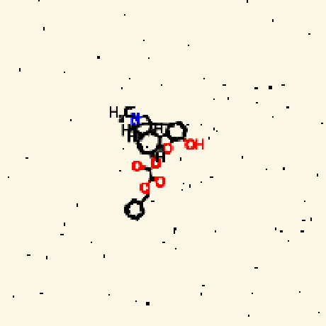 CN1CC[C@H]2C3c4c5ccc(O)c4O[C@H]3[C@@H](OC(=O)C(=O)OCc3ccccc3)C=C[C@H]2[C@H]1C5